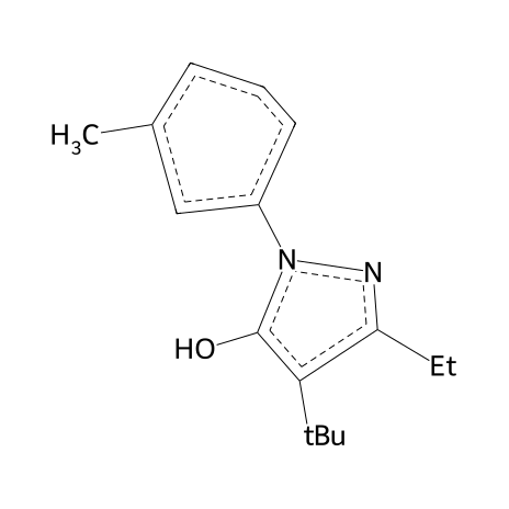 CCc1nn(-c2cccc(C)c2)c(O)c1C(C)(C)C